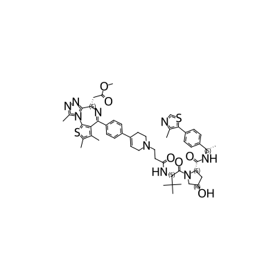 COC(=O)C[C@@H]1N=C(c2ccc(C3=CCN(CCC(=O)N[C@H](C(=O)N4C[C@H](O)C[C@H]4C(=O)N[C@@H](C)c4ccc(-c5scnc5C)cc4)C(C)(C)C)CC3)cc2)c2c(sc(C)c2C)-n2c(C)nnc21